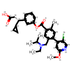 CCN(Cc1cc(C(=O)Oc2cccc([C@@H](CC(=O)O)C3CC3)c2)c(C)cc1-c1cc(OC)ncc1F)C(C)C